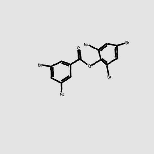 O=C(Oc1c(Br)cc(Br)cc1Br)c1cc(Br)cc(Br)c1